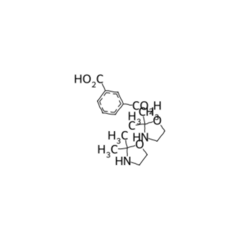 CC1(C)NCCO1.CC1(C)NCCO1.O=C(O)c1cccc(C(=O)O)c1